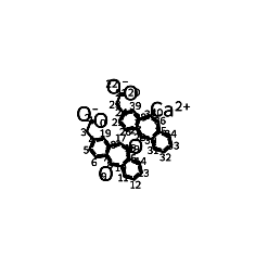 O=C([O-])Cc1ccc2c(=O)c3ccccc3ccc2c1.O=C([O-])Cc1ccc2c(=O)c3ccccc3ccc2c1.[Ca+2]